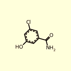 NC(=O)c1cc(O)cc(Cl)c1